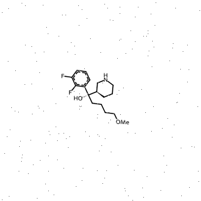 COCCCC[C@@](O)(c1cccc(F)c1F)[C@@H]1CCCNC1